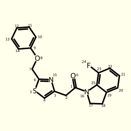 O=C(Cc1csc(COc2ccccc2)n1)N1CCc2cccc(F)c21